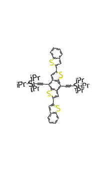 CC(C)[Si](C#Cc1c2cc(-c3cc4ccccc4s3)sc2c(C#C[Si](C(C)C)(C(C)C)C(C)C)c2cc(-c3cc4ccccc4s3)sc12)(C(C)C)C(C)C